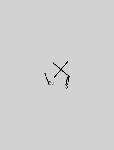 CC(C)(C)C=O.CCC(C)C